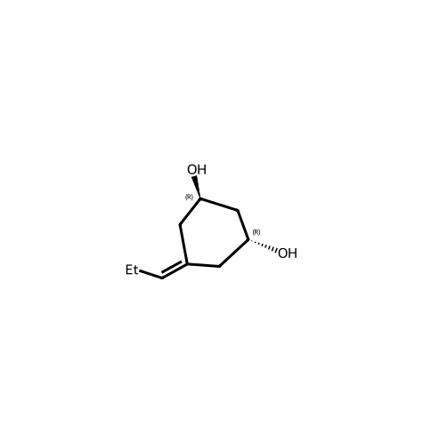 CCC=C1C[C@@H](O)C[C@H](O)C1